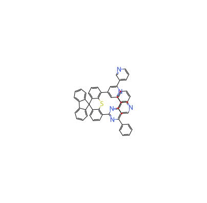 c1ccc(-c2cc(-c3ccccc3)nc(-c3cccc4c3Sc3c(-c5cc(-c6cccnc6)nc(-c6cccnc6)c5)cccc3C43c4ccccc4-c4ccccc43)n2)cc1